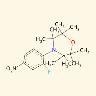 CC1(C)OC(C)(C)C(C)(C)N(c2ccc([N+](=O)[O-])cc2F)C1(C)C